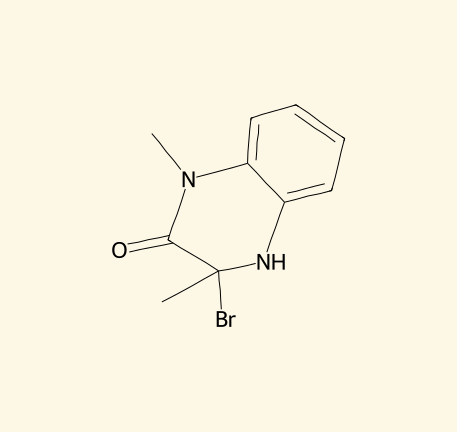 CN1C(=O)C(C)(Br)Nc2ccccc21